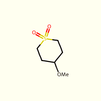 [CH2-][OH+]C1CCS(=O)(=O)CC1